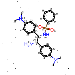 CN(C)c1ccc([C@H](N)[C@@H](NS(=O)(=O)c2ccccc2)c2ccc(N(C)C)cc2)cc1